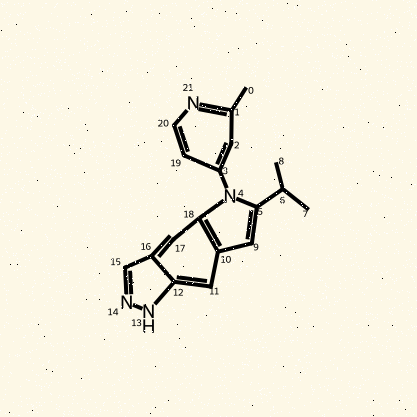 Cc1cc(-n2c(C(C)C)cc3cc4[nH]ncc4cc32)ccn1